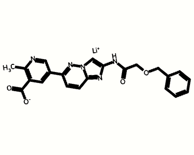 Cc1ncc(-c2ccc3nc(NC(=O)COCc4ccccc4)cn3n2)cc1C(=O)[O-].[Li+]